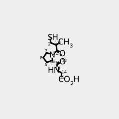 CC(CS)C(=O)N1CCC[C@H]1C(=O)NCC(=O)O